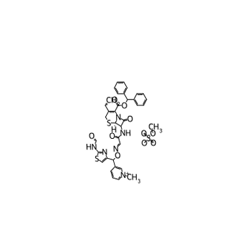 C=CC1=C(C(=O)OC(c2ccccc2)c2ccccc2)N2C(=O)C(NC(=O)C=NOC(c3ccc[n+](C)c3)c3csc(NC=O)n3)[C@H]2SC1.COS(=O)(=O)[O-]